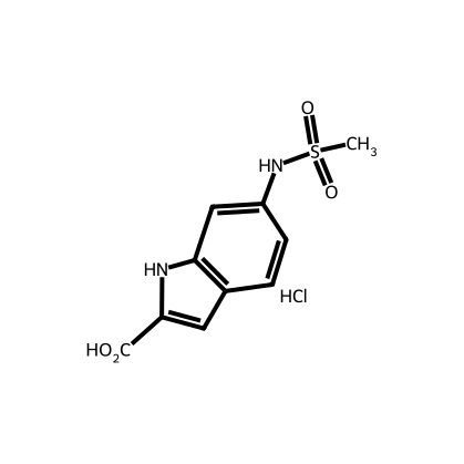 CS(=O)(=O)Nc1ccc2cc(C(=O)O)[nH]c2c1.Cl